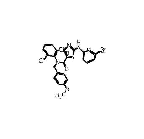 COc1ccc(CN(C(=O)c2cnc(Nc3cccc(Br)n3)s2)c2c(C)cccc2Cl)cc1